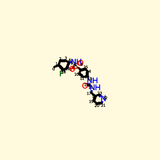 Cc1ccc(NS(=O)(=O)c2ccc(NC(=O)NCc3cccnc3)cc2)cc1F